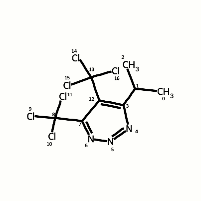 CC(C)c1nnnc(C(Cl)(Cl)Cl)c1C(Cl)(Cl)Cl